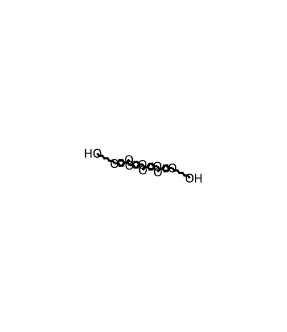 O=C(OC1=CC=C(OC(=O)c2ccc(OC(=O)c3ccc(OCCCCCCO)cc3)cc2)CC1)c1ccc(OCCCCCCO)cc1